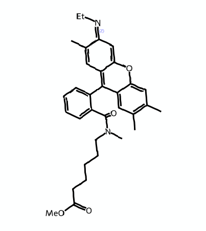 CC/N=c1/cc2oc3cc(C)c(C)cc3c(-c3ccccc3C(=O)N(C)CCCCCC(=O)OC)c-2cc1C